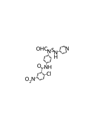 O=CN(SNc1ccncc1)c1ccc(NC(=O)c2cc([N+](=O)[O-])ccc2Cl)cc1